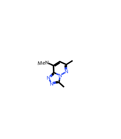 CNc1cc(C)nn2c(C)nnc12